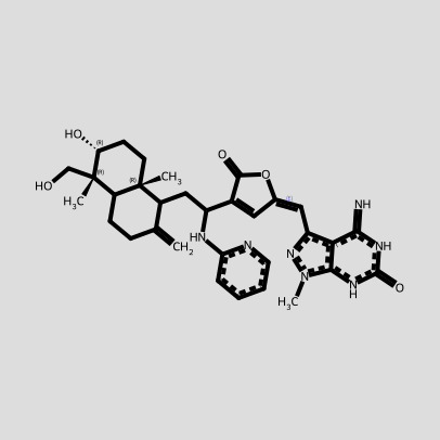 C=C1CCC2[C@](C)(CC[C@@H](O)[C@@]2(C)CO)C1CC(Nc1ccccn1)C1=C/C(=C\c2nn(C)c3[nH]c(=O)[nH]c(=N)c23)OC1=O